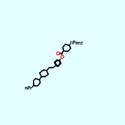 CCCCCC1CCC(C(=O)Oc2ccc(CCC3CCC(C4CCC(CCC)CC4)CC3)cc2)CC1